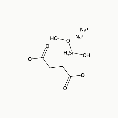 O=C([O-])CCC(=O)[O-].OO[SiH2]O.[Na+].[Na+]